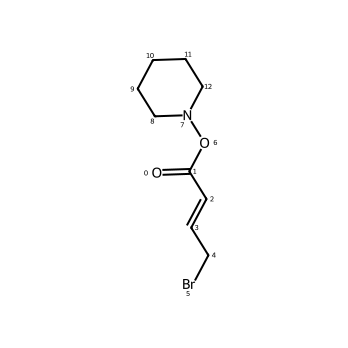 O=C(/C=C/CBr)ON1CCCCC1